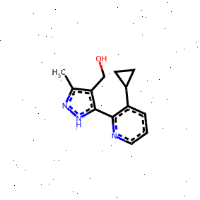 Cc1n[nH]c(-c2ncccc2C2CC2)c1CO